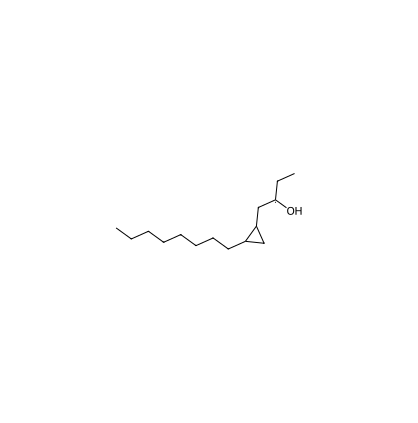 CCCCCCCCC1CC1C[C](O)CC